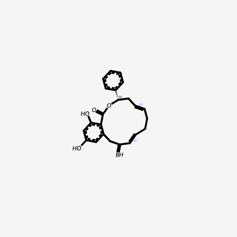 B=C1/C=C/CC/C=C/C[C@@H](c2ccccc2)OC(=O)c2c(O)cc(O)cc2C1